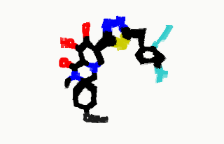 COC1CCC2(CC1)CN1C=C(c3nnc(Cc4ccc(F)cc4F)s3)C(=O)C(O)C1C(=O)N2C